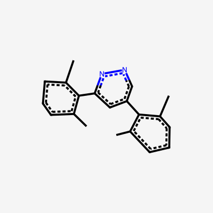 Cc1cccc(C)c1-c1cnnc(-c2c(C)cccc2C)c1